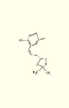 CC1(C)OC[C@@H](C/C=C\c2cc(F)ccc2O)O1